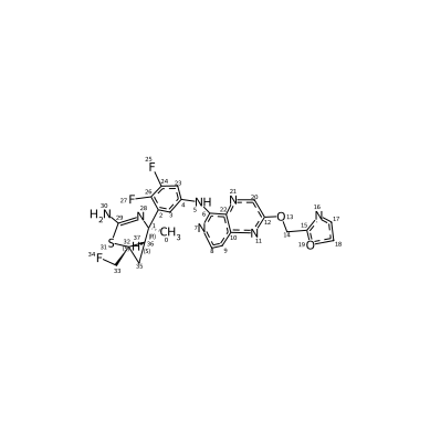 C[C@@]1(c2cc(Nc3nccc4nc(OCc5ncco5)cnc34)cc(F)c2F)N=C(N)S[C@@]2(CF)C[C@H]21